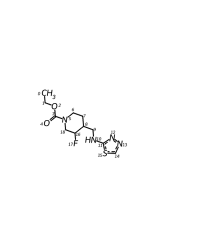 CCOC(=O)N1CCC(CNc2nncs2)C(F)C1